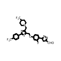 O=CC1=NN=C(c2ccc(OCc3sc(-c4ccc(C(F)(F)F)cc4)nc3CN3CCC(C(F)(F)F)CC3)cc2F)C1